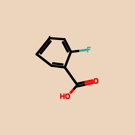 O=C(O)c1cc[c]cc1F